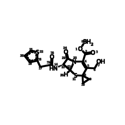 BOC(=O)C1=C(CO)C2(CC2)S[C@@H]2[C@H](NC(=O)Cc3cccs3)C(=O)N12